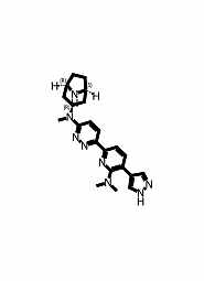 CN(C)c1nc(-c2ccc(N(C)[C@H]3C[C@H]4CC[C@@H](C3)N4)nn2)ccc1-c1cn[nH]c1